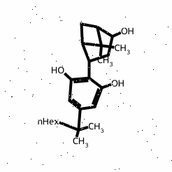 CCCCCCC(C)(C)c1cc(O)c(C2CC(O)C3CC2C3(C)C)c(O)c1